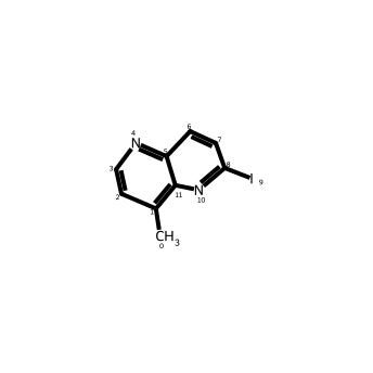 Cc1ccnc2ccc(I)nc12